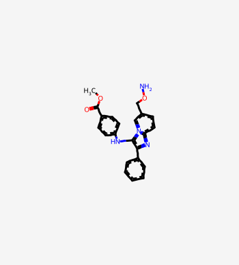 COC(=O)c1ccc(Nc2c(-c3ccccc3)nc3ccc(CON)cn23)cc1